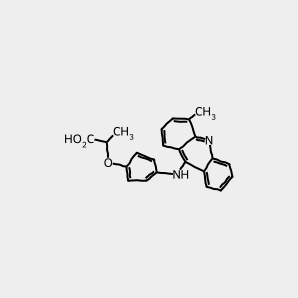 Cc1cccc2c(Nc3ccc(OC(C)C(=O)O)cc3)c3ccccc3nc12